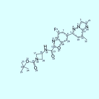 Cc1cn2nc(-c3cc(F)c4nc(C(=O)NC5CN(C(=O)OC(C)(C)C)C5)oc4c3)cc(C)c2n1